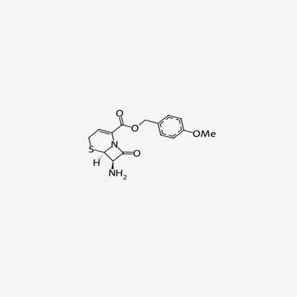 COc1ccc(COC(=O)C2=CCS[C@@H]3[C@H](N)C(=O)N23)cc1